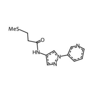 CSCCC(=O)Nc1cnn(-c2cccnc2)c1